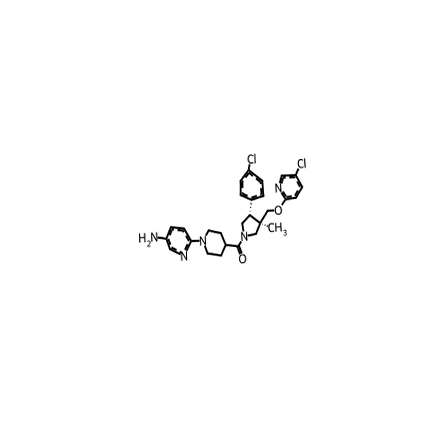 C[C@]1(COc2ccc(Cl)cn2)CN(C(=O)C2CCN(c3ccc(N)cn3)CC2)C[C@@H]1c1ccc(Cl)cc1